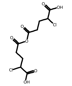 O=C(CCC(Cl)C(=O)O)OC(=O)CCC(Cl)C(=O)O